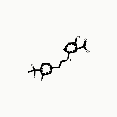 O=C(O)c1cc(NCCc2ccc(C(F)(F)F)c(F)c2)ccc1O